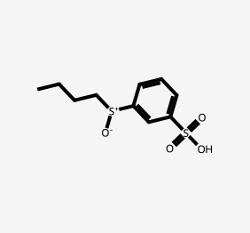 CCCC[S+]([O-])c1cccc(S(=O)(=O)O)c1